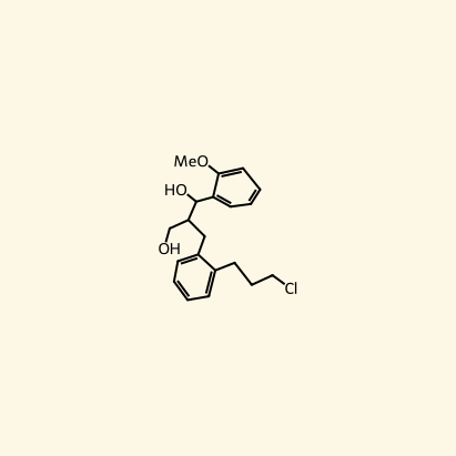 COc1ccccc1C(O)C(CO)Cc1ccccc1CCCCl